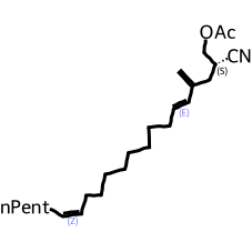 C=C(/C=C/CCCCCCCC/C=C\CCCCC)C[C@@H](C#N)COC(C)=O